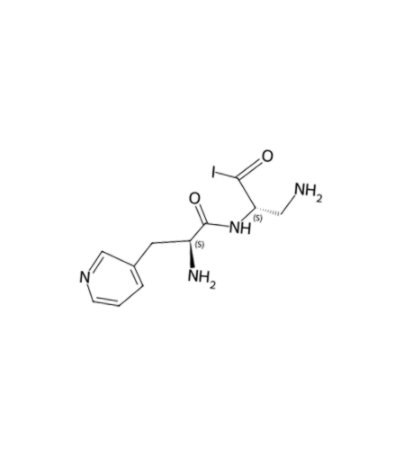 NC[C@H](NC(=O)[C@@H](N)Cc1cccnc1)C(=O)I